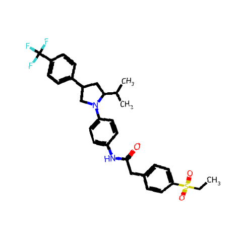 CCS(=O)(=O)c1ccc(CC(=O)Nc2ccc(N3CC(c4ccc(C(F)(F)F)cc4)CC3C(C)C)cc2)cc1